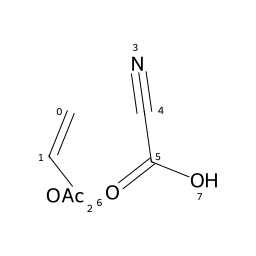 C=COC(C)=O.N#CC(=O)O